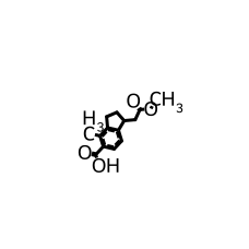 COC(=O)CC1CCc2c1ccc(C(=O)O)c2C